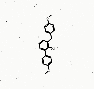 COc1ccc(Cc2cccc(-c3ccc(OC)cc3)c2Cl)cc1